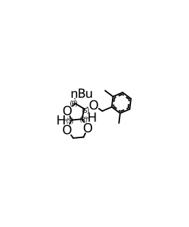 CCCC[C@H]1O[C@@H]2OCCO[C@@H]2[C@H]1OCc1c(C)cccc1C